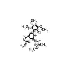 CCc1c(OC)cc(OC)c(Cl)c1-c1cc2cnc(N)nc2c(N2CC(C)(OC)C2)n1